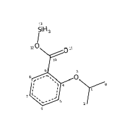 CC(C)Oc1ccccc1C(=O)O[SiH3]